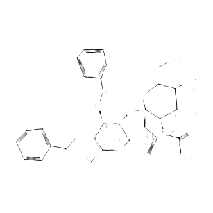 C=CC[C@@]1(O[C@@H]2[C@H](OCc3ccccc3)[C@@H](OCc3ccccc3)[C@H](C)O[C@H]2O)O[C@H](COC(C)=O)[C@@H](OC(C)=O)[C@H](OC(C)=O)[C@H]1NC(=O)C(Cl)(Cl)Cl